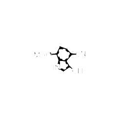 COc1ccc(C#N)c2c(C)c[nH]c12